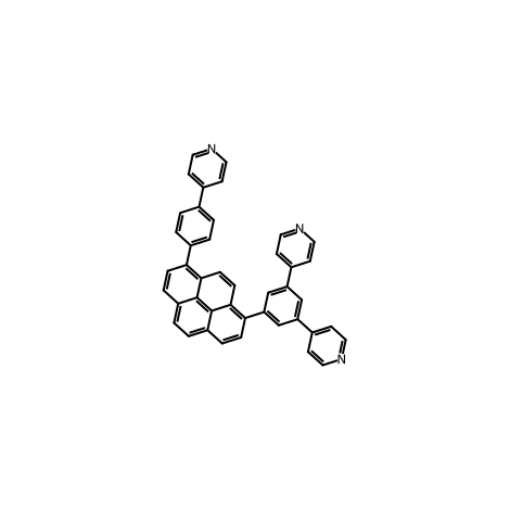 c1cc(-c2ccc(-c3ccc4ccc5ccc(-c6cc(-c7ccncc7)cc(-c7ccncc7)c6)c6ccc3c4c56)cc2)ccn1